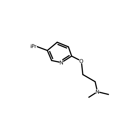 CC(C)c1ccc(OCCN(C)C)nc1